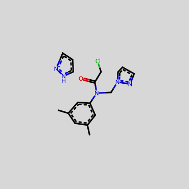 Cc1cc(C)cc(N(Cn2cccn2)C(=O)CCl)c1.c1cn[nH]c1